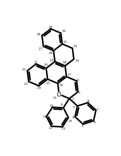 C1=CC(c2ccccc2)(c2ccccc2)Oc2c1c1c(c3ccccc23)-c2ccccc2CC1